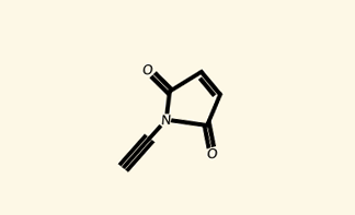 C#CN1C(=O)C=CC1=O